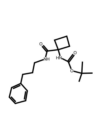 CC(C)(C)OC(=O)NC1(C(=O)NCCCc2ccccc2)CCC1